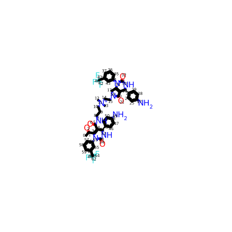 CC(=O)C1=C(C(=O)NCCC[N+](C)(C)CCN2CC3=C(C2=O)[C@@H](c2ccc(N)cc2)NC(=O)N3c2cccc(C(F)(F)F)c2)[C@@H](c2ccc(N)cc2)NC(=O)N1c1cccc(C(F)(F)F)c1